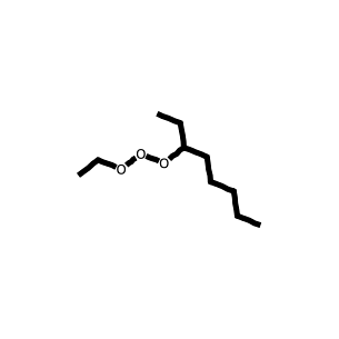 CCCCCC(CC)OOOCC